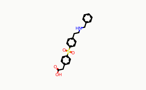 O=C(O)Cc1ccc(S(=O)(=O)c2ccc(CCNCc3ccccc3)cc2)cc1